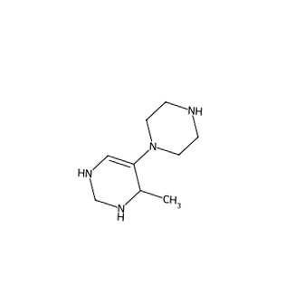 CC1NCNC=C1N1CCNCC1